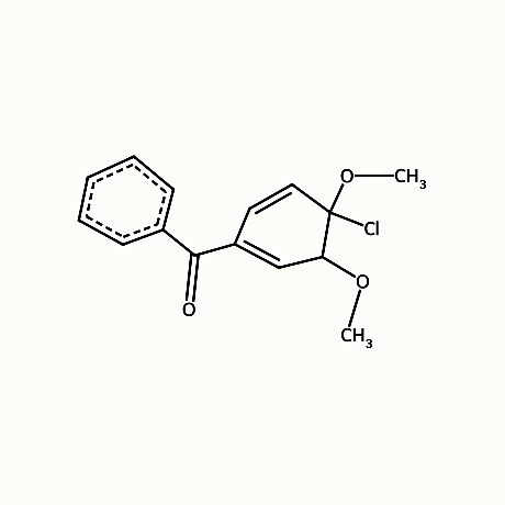 COC1C=C(C(=O)c2ccccc2)C=CC1(Cl)OC